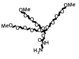 COCCOCCOCCOCCOCC(COCCOCCOCCOCCOC)(COCC(=O)NCCN)OCCOCCOCCOCCOC